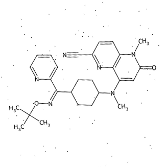 CN(c1cc(=O)n(C)c2ccc(C#N)nc12)C1CCC(/C(=N/OC(C)(C)C)c2ccccn2)CC1